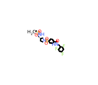 C=CS(=O)(=O)NC[C@H]1CCN(S(=O)(=O)c2ccc(C(=O)NCc3c(F)cc(F)cc3F)cc2)C1